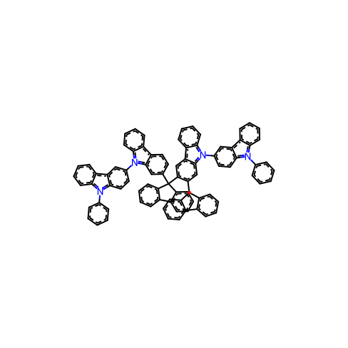 c1ccc(-n2c3ccccc3c3cc(-n4c5ccccc5c5ccc(C6(c7cc8c9ccccc9n(-c9ccc%10c(c9)c9ccccc9n%10-c9ccccc9)c8cc7C7c8ccccc8-c8ccccc87)c7ccccc7-c7ccccc76)cc54)ccc32)cc1